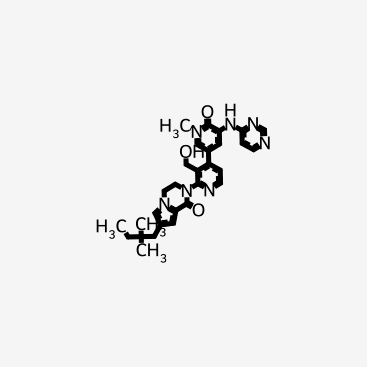 CCC(C)(C)Cc1cc2n(c1)CCN(c1nccc(-c3cc(Nc4ccncn4)c(=O)n(C)c3)c1CO)C2=O